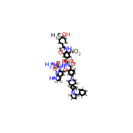 CC(C)c1ccccc1[C@H]1CCCN1C1CC2(CCN(c3ccc(C(=O)NS(=O)(=O)c4cc5c(c([N+](=O)[O-])c4)N[C@@H]([C@H]4CC[C@](C)(O)CC4)CO5)c(Oc4cc5cc[nH]c5nc4NS(N)(=O)=O)c3)CC2)C1